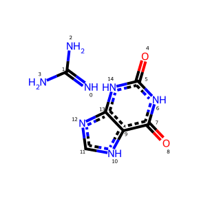 N=C(N)N.O=c1[nH]c(=O)c2[nH]cnc2[nH]1